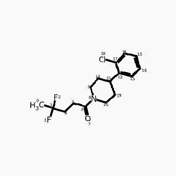 CC(F)(F)CCC(=O)N1CCC(c2ccccc2Cl)CC1